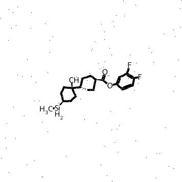 C[SiH2][C@H]1CC[C@](C)([C@H]2CC[C@H](C(=O)Oc3ccc(F)c(F)c3)CC2)CC1